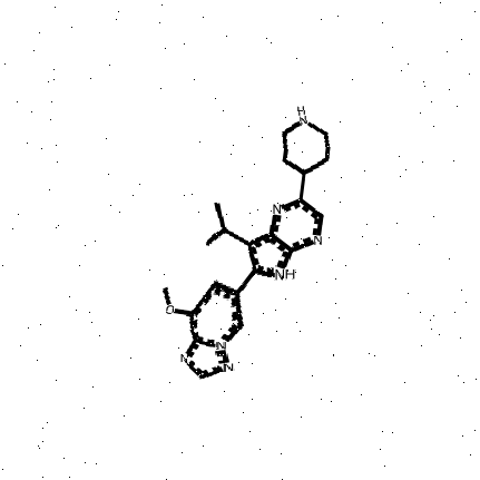 COc1cc(-c2[nH]c3ncc(C4CCNCC4)nc3c2C(C)C)cn2ncnc12